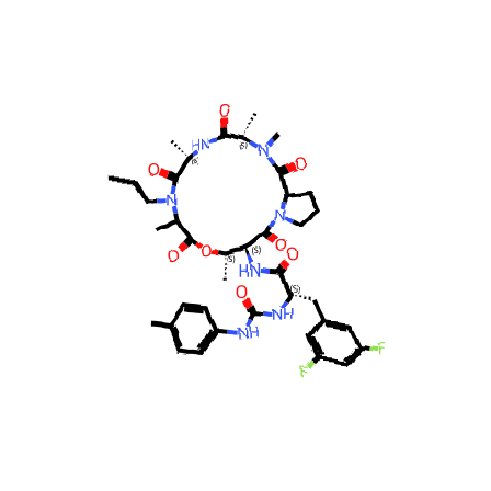 CCCN1C(=O)[C@H](C)NC(=O)[C@H](C)N(C)C(=O)C2CCCN2C(=O)[C@@H](NC(=O)[C@H](Cc2cc(F)cc(F)c2)NC(=O)Nc2ccc(C)cc2)[C@H](C)OC(=O)C1C